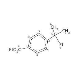 CCOC(=O)c1ccc(C(C)(C)CC)cc1